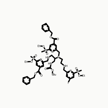 CCOP(C)(=O)c1cc(I)cc(CNCCN(Cc2cc(C(=O)OCc3ccccc3)cc(P(C)(=O)OCC)n2)C(CNCc2cc(C(=O)OCc3ccccc3)cc(P(C)(=O)OCC)n2)CNC(=O)OC(C)(C)C)n1